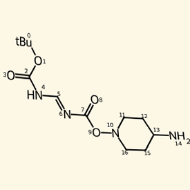 CC(C)(C)OC(=O)NC=NC(=O)ON1CCC(N)CC1